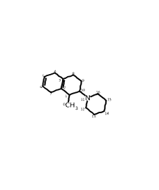 CC1C2=C(CC=CC2)CCC1N1CCCCC1